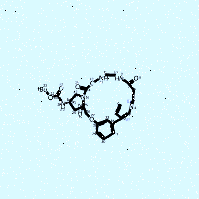 C=C/C1=C\N=C/CC(=O)NCCNCC(=O)N2C[C@H](NC(=O)OC(C)(C)C)C[C@H]2COc2cccc1c2